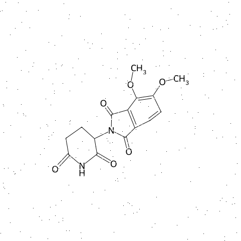 COc1ccc2c(c1OC)C(=O)N(C1CCC(=O)NC1=O)C2=O